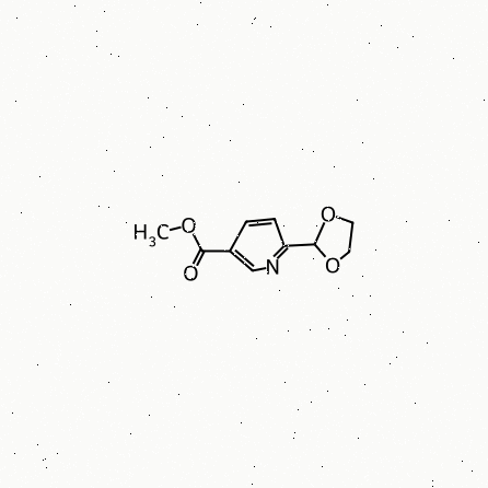 COC(=O)c1ccc(C2OCCO2)nc1